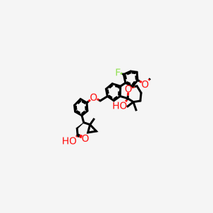 COc1ccc(F)c(-c2ccc(COc3cccc([C@H](CC(=O)O)C4(C)CC4)c3)cc2C2(O)OCCCC2(C)C)c1